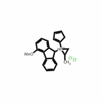 COc1cccc2c1-c1ccccc1[CH]2[Hf+2]1([C]2=CC=CC2)[CH2][CH]1C.[Cl-].[Cl-]